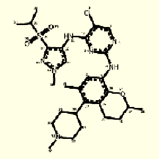 Cc1cc(Nc2ncc(Cl)c(Nc3cn(C)nc3S(=O)(=O)C(C)C)n2)c2c(c1C1CCN(C)CC1)CCC(C)O2